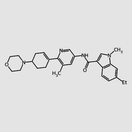 CCc1ccc2c(C(=O)Nc3cnc(C4=CCC(N5CCOCC5)CC4)c(C)c3)cn(C)c2c1